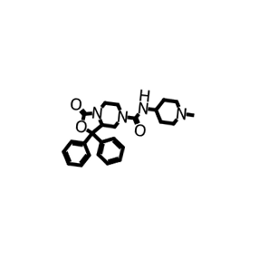 CN1CCC(NC(=O)N2CCN3C(=O)OC(c4ccccc4)(c4ccccc4)C3C2)CC1